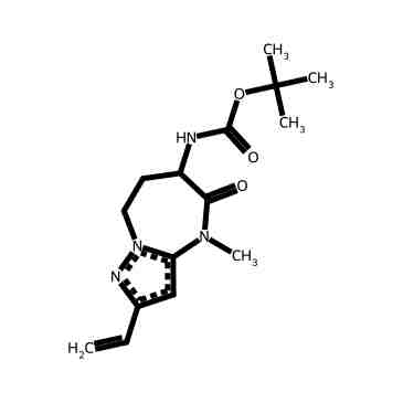 C=Cc1cc2n(n1)CCC(NC(=O)OC(C)(C)C)C(=O)N2C